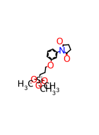 CO[Si](CCCOc1cccc(N2C(=O)CCC2=O)c1)(OC)OC